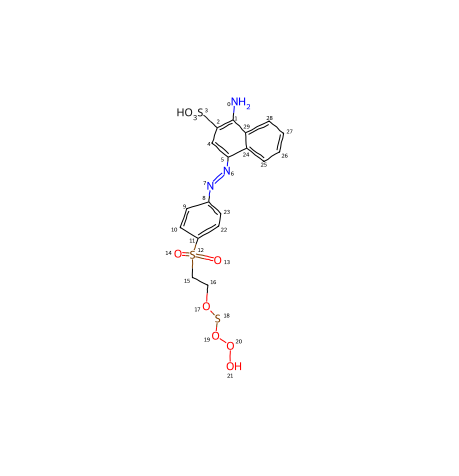 Nc1c(S(=O)(=O)O)cc(/N=N/c2ccc(S(=O)(=O)CCOSOOO)cc2)c2ccccc12